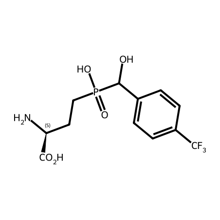 N[C@@H](CCP(=O)(O)C(O)c1ccc(C(F)(F)F)cc1)C(=O)O